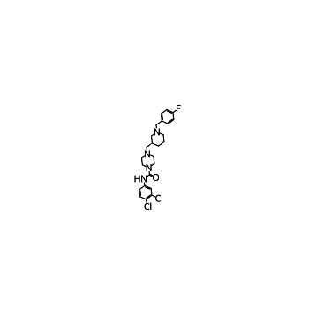 O=C(Nc1ccc(Cl)c(Cl)c1)N1CCN(C[C@@H]2CCCN(Cc3ccc(F)cc3)C2)CC1